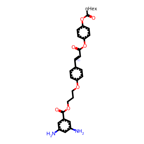 CCCCCCC(=O)Oc1ccc(OC(=O)/C=C/c2ccc(OCCCOC(=O)c3cc(N)cc(N)c3)cc2)cc1